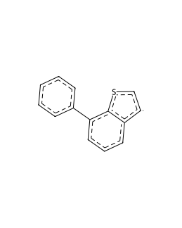 [c]1csc2c(-c3ccccc3)cccc12